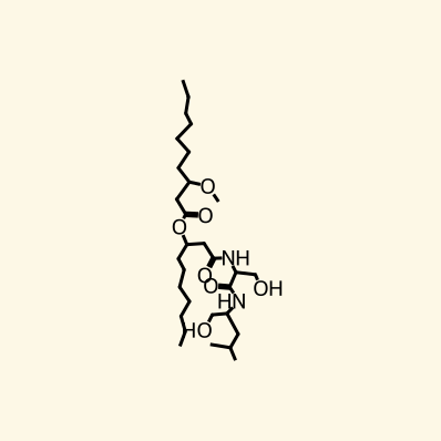 CCCCCCCC(CC(=O)OC(CCCCCCC)CC(=O)NC(CO)C(=O)NC(CO)CC(C)C)OC